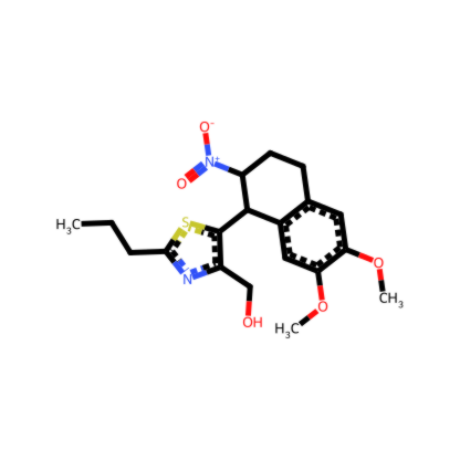 CCCc1nc(CO)c(C2c3cc(OC)c(OC)cc3CCC2[N+](=O)[O-])s1